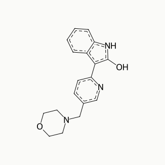 Oc1[nH]c2ccccc2c1-c1ccc(CN2CCOCC2)cn1